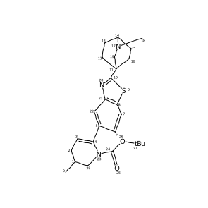 CC1CC=C(c2ccc3sc(C45CCC(CC4)N(C)C5)nc3c2)N(C(=O)OC(C)(C)C)C1